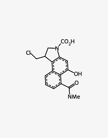 CNC(=O)c1cccc2c3c(cc(O)c12)N(C(=O)O)CC3CCl